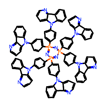 c1ccc2c(c1)c1ncccc1n2-c1ccc(P2(c3ccc(-n4c5ccccc5c5ncccc54)cc3)=NP(c3ccc(-n4c5ccccc5c5ncccc54)cc3)(c3ccc(-n4c5ccccc5c5ncccc54)cc3)=NP(c3ccc(-n4c5ccccc5c5ncccc54)cc3)(c3ccc(-n4c5ccccc5c5ncccc54)cc3)=N2)cc1